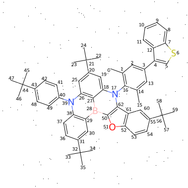 Cc1cc(-c2csc3ccccc23)cc(C)c1N1c2cc(C(C)(C)C)cc3c2B(c2cc(C(C)(C)C)ccc2N3c2ccc(C(C)(C)C)cc2)c2oc3ccc(C(C)(C)C)cc3c21